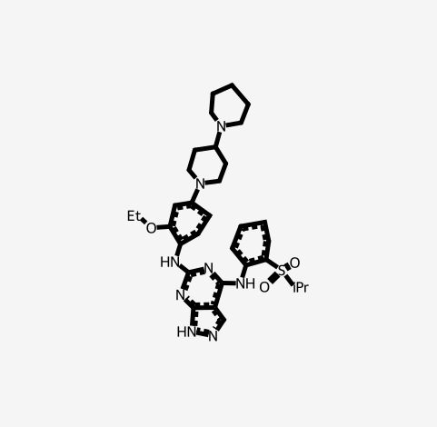 CCOc1cc(N2CCC(N3CCCCC3)CC2)ccc1Nc1nc(Nc2ccccc2S(=O)(=O)C(C)C)c2cn[nH]c2n1